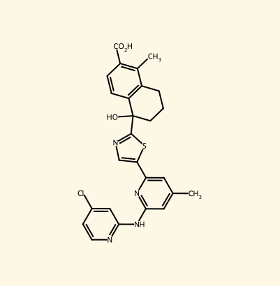 Cc1cc(Nc2cc(Cl)ccn2)nc(-c2cnc(C3(O)CCCc4c3ccc(C(=O)O)c4C)s2)c1